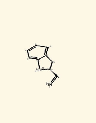 N=C[C@@H]1Cc2ccccc2N1